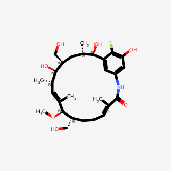 CO[C@H]1/C(C)=C/[C@H](C)[C@@H](O)[C@@H](CO)C[C@H](C)[C@@H](O)c2cc(cc(O)c2F)NC(=O)/C(C)=C/CC[C@@H]1CO